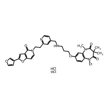 CCN1C(=O)C(C)(C)C(=O)N(C)c2cc(OCCCNCc3ccnc(CCn4ccc5oc(-c6ccoc6)cc5c4=O)c3)ccc21.Cl.Cl